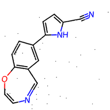 N#Cc1ccc(-c2ccc3c(c2)C=NC=CO3)[nH]1